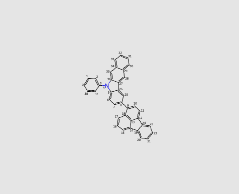 c1ccc(-n2c3ccc(-c4ccc5c6c(cccc46)-c4ccccc4-5)cc3c3cc4ccccc4cc32)cc1